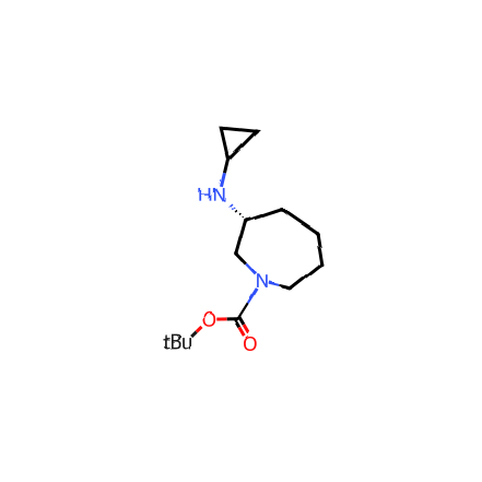 CC(C)(C)OC(=O)N1CCCC[C@@H](NC2CC2)C1